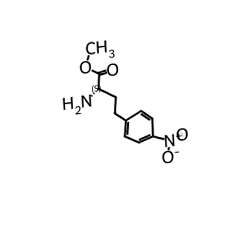 COC(=O)[C@@H](N)CCc1ccc([N+](=O)[O-])cc1